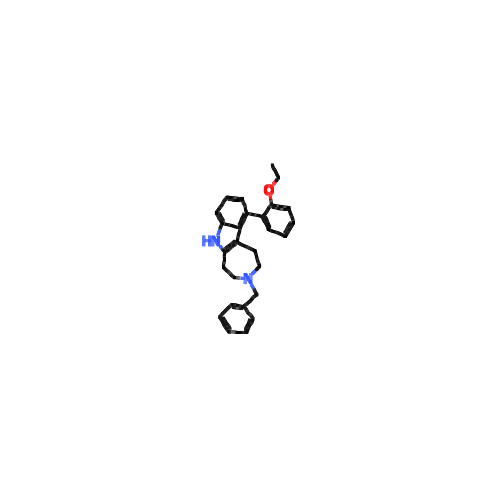 CCOc1ccccc1-c1cccc2[nH]c3c(c12)CCN(Cc1ccccc1)CC3